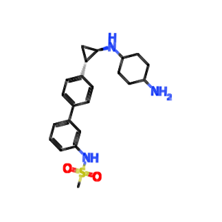 CS(=O)(=O)Nc1cccc(-c2ccc([C@@H]3C[C@H]3NC3CCC(N)CC3)cc2)c1